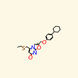 CCSCc1cc(=O)nc2n1C[C@@H](COc1ccc(C3CCCCC3)cc1)O2